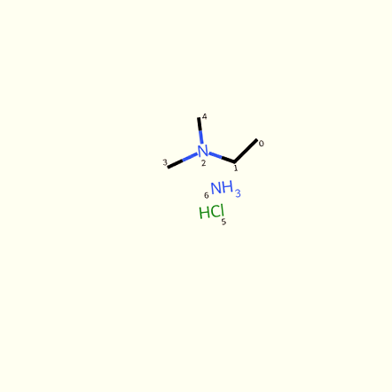 CCN(C)C.Cl.N